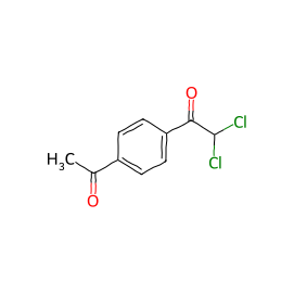 CC(=O)c1ccc(C(=O)C(Cl)Cl)cc1